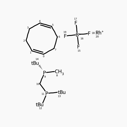 C1=C\CC/C=C\CC/1.C[P@](CP(C(C)(C)C)C(C)(C)C)C(C)(C)C.F[B-](F)(F)F.[Rh+]